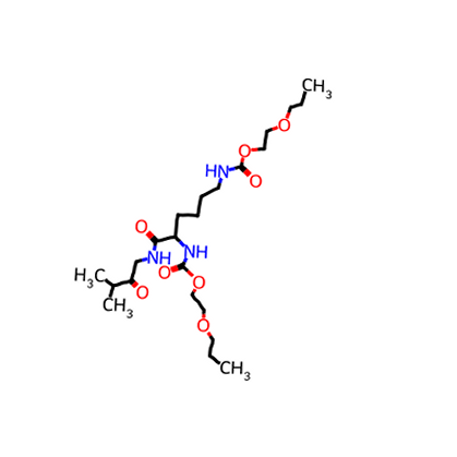 CCCOCCOC(=O)NCCCCC(NC(=O)OCCOCCC)C(=O)NCC(=O)C(C)C